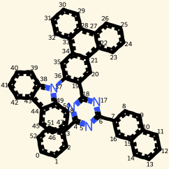 c1ccc(-c2nc(-c3ccc4ccccc4c3)nc(-c3cc4c5ccccc5c5ccccc5c4cc3-n3c4ccccc4c4ccccc43)n2)cc1